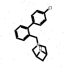 Clc1ccc(-c2ccccc2CN2CC3CC(C2)N3)cc1